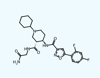 NC(=O)CNC(=O)[C@@H]1CN(C2CCCCC2)CC[C@H]1NC(=O)c1cc(-c2ccc(F)cc2F)on1